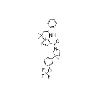 CC1(C)C[C@H](c2ccccc2)Nc2c(C(=O)N3CC4CC4(c4cccc(OC(F)(F)F)c4)C3)cnn21